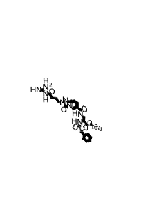 CC(C)(C)OC(=O)C(CNC(=O)c1ccc2nn(CCCC(=O)NC(=N)N)c(=O)n2c1)NC(=O)OCc1ccccc1